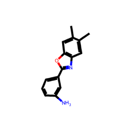 Cc1cc2nc(-c3cccc(N)c3)oc2cc1C